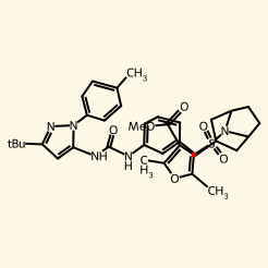 COC(=O)c1c(C)oc(C)c1S(=O)(=O)N1C2CCC1CC(Cc1cccc(NC(=O)Nc3cc(C(C)(C)C)nn3-c3ccc(C)cc3)c1)C2